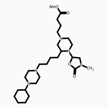 COC(=O)CCCN1CCN(C2CN(C)C(=O)O2)C(CCCCN2CCN(C3CCCCC3)CC2)C1